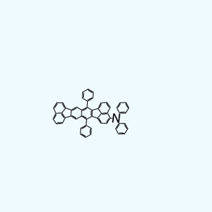 c1ccc(-c2c3cc4c(cc3c(-c3ccccc3)c3c5ccc(N(c6ccccc6)c6ccccc6)c6cccc(c23)c65)c2cccc3cccc4c32)cc1